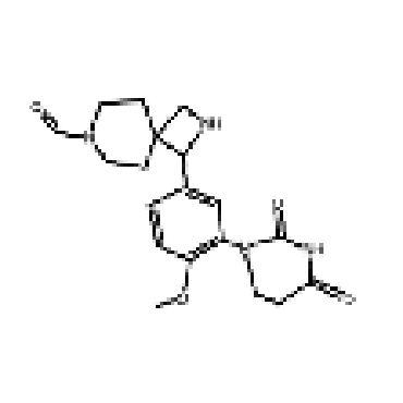 COc1ccc(C2NCC23CCN(C=O)CC3)cc1N1CCC(=O)NC1=O